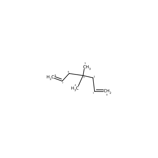 C=CCC(C)(C)CC=C